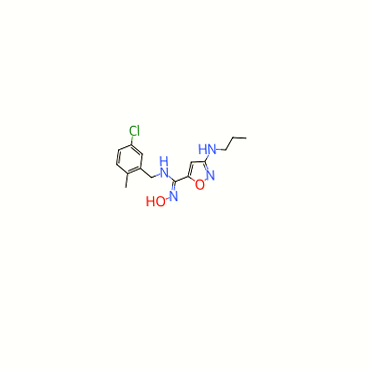 CCCNc1cc(C(=NO)NCc2cc(Cl)ccc2C)on1